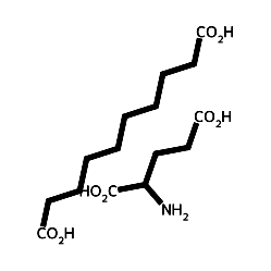 NC(CCC(=O)O)C(=O)O.O=C(O)CCCCCCCCC(=O)O